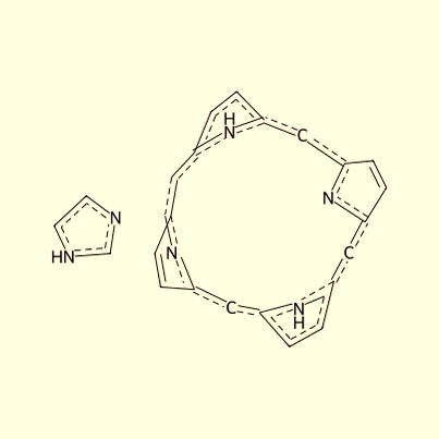 C1=Cc2cc3ccc(cc4nc(cc5ccc(cc1n2)[nH]5)C=C4)[nH]3.c1c[nH]cn1